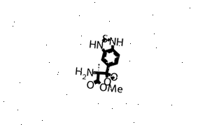 COC(=O)[C@@](C)(N)C1(c2ccc3c(c2)NSN3)OO1